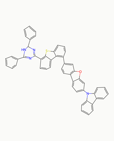 c1ccc(C2=NC(c3cccc4c3sc3cccc(-c5ccc6c(c5)oc5cc(-n7c8ccccc8c8ccccc87)ccc56)c34)=NC(c3ccccc3)N2)cc1